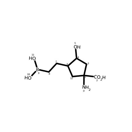 NC1(C(=O)O)CC(O)C(CCB(O)O)C1